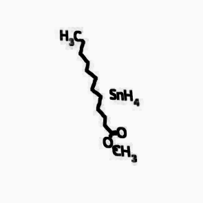 CCCCCCCCCCCC(=O)OC.[SnH4]